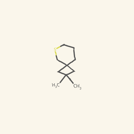 CC1(C)CC2(CCCSC2)C1